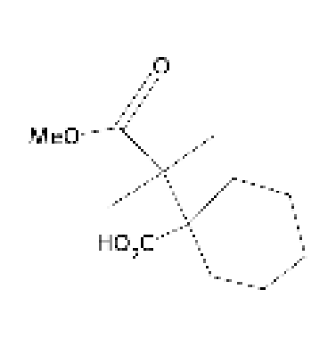 COC(=O)C(C)(C)C1(C(=O)O)CCCCC1